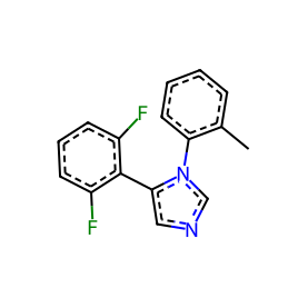 Cc1ccccc1-n1cncc1-c1c(F)cccc1F